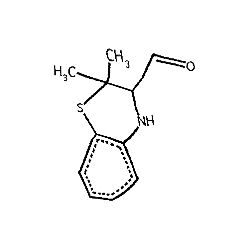 CC1(C)Sc2ccccc2NC1C=O